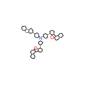 c1ccc2c(c1)Cc1cc(-c3ccc(N(c4ccc(-c5cccc6c5oc5ccc7ccccc7c56)cc4)c4ccc(-c5cccc6c5oc5ccc7ccccc7c56)cc4)cc3)ccc1-2